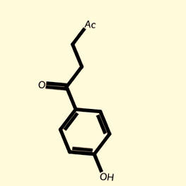 CC(=O)CCC(=O)c1ccc(O)cc1